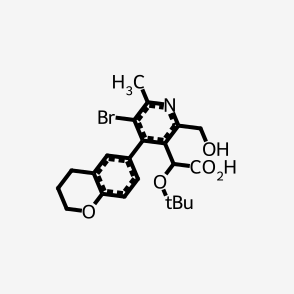 Cc1nc(CO)c(C(OC(C)(C)C)C(=O)O)c(-c2ccc3c(c2)CCCO3)c1Br